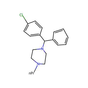 CCCN1CCN(C(c2ccccc2)c2ccc(Cl)cc2)CC1